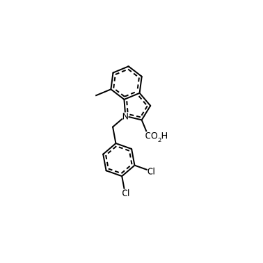 Cc1cccc2cc(C(=O)O)n(Cc3ccc(Cl)c(Cl)c3)c12